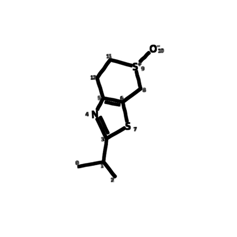 CC(C)c1nc2c(s1)C[S+]([O-])CC2